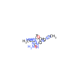 Cc1cc(-c2nc(C(N)=O)c(Nc3ccc(N4CCC(N5CCN(C)CC5)CC4)c(C)c3)nc2NC2CCOC3(CC3)C2)n[nH]1